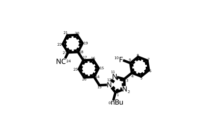 CCCCc1nc(-c2ccccc2F)nn1Cc1ccc(-c2ccccc2C#N)cc1